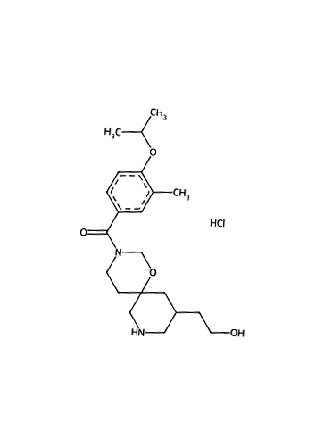 Cc1cc(C(=O)N2CCC3(CNCC(CCO)C3)OC2)ccc1OC(C)C.Cl